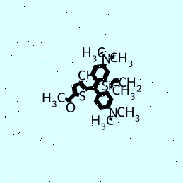 C=C[Si]1(C)C2=CC(=[N+](C)C)C=CC2=C(c2sc(C(C)=O)cc2C)c2ccc(N(C)C)cc21